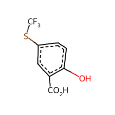 O=C(O)c1cc(SC(F)(F)F)ccc1O